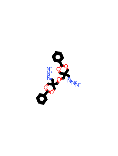 [N-]=[N+]=NCC1(COCC2(CN=[N+]=[N-])COC(c3ccccc3)OC2)COC(c2ccccc2)OC1